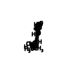 Cc1sc2c(c1C)C(c1ccc(Cl)cc1)=N[C@@H](CC(=O)NCCCCCCCCNC(=O)COc1cc3c4c(cccc4c1)C(=O)N(C1CCC(=O)NC1=O)C3=O)c1nnc(C)n1-2